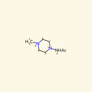 CC(=O)NN1CCN(C)CC1